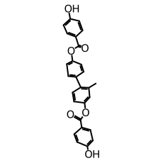 Cc1cc(OC(=O)c2ccc(O)cc2)ccc1-c1ccc(OC(=O)c2ccc(O)cc2)cc1